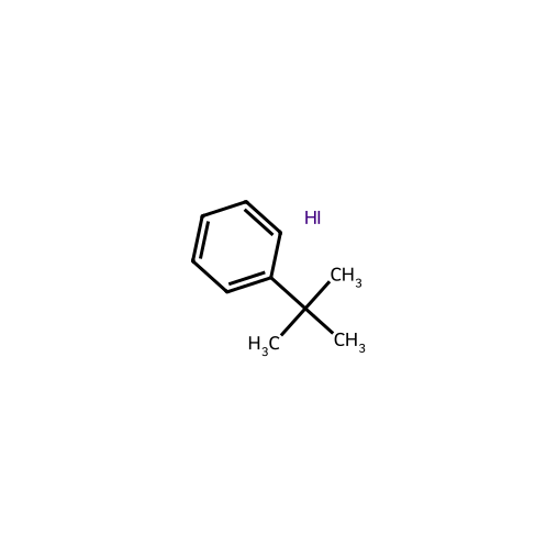 CC(C)(C)c1ccccc1.I